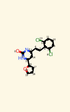 O=c1nc(C=Cc2c(Cl)cccc2Cl)cc(-c2ccco2)[nH]1